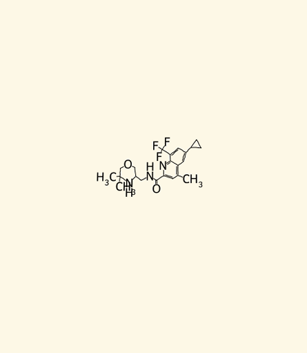 Cc1cc(C(=O)NCC2COCC(C)(C)N2)nc2c(C(F)(F)F)cc(C3CC3)cc12